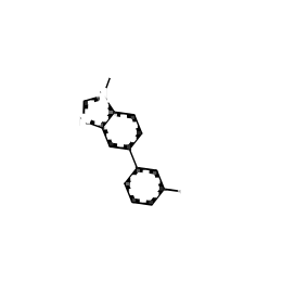 Cn1[c]nc2cc(-c3cccc(C(F)(F)F)c3)ccc21